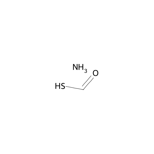 N.O=CS